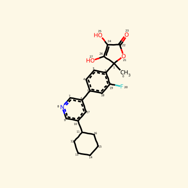 CC1(c2ccc(-c3cncc(C4CCCCC4)c3)cc2F)OC(=O)C(O)=C1O